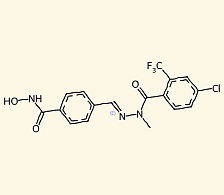 CN(/N=C/c1ccc(C(=O)NO)cc1)C(=O)c1ccc(Cl)cc1C(F)(F)F